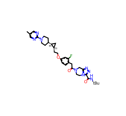 Cc1cnc(N2CCC([C@H]3C[C@H]3CCOc3ccc(CC(=O)N4CCn5c(nnc5C(=O)NC(C)(C)C)C4)c(F)c3)CC2)nc1